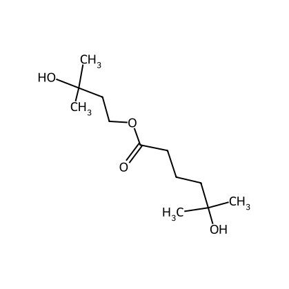 CC(C)(O)CCCC(=O)OCCC(C)(C)O